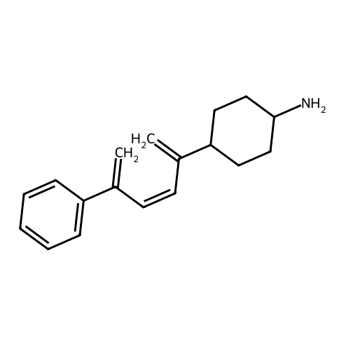 C=C(/C=C\C(=C)C1CCC(N)CC1)c1ccccc1